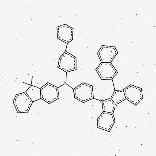 CC1(C)c2ccccc2-c2ccc(N(c3ccc(-c4ccccc4)cc3)c3ccc(-n4c5ccccc5n5c6ccccc6c(-c6ccc7ccccc7c6)c45)cc3)cc21